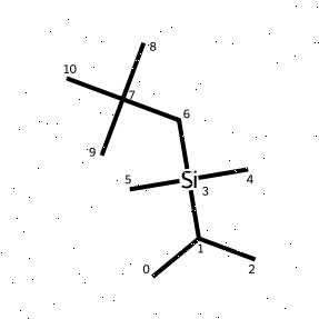 CC(C)[Si](C)(C)CC(C)(C)C